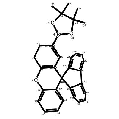 CC1(C)OB(C2=CC3=C(CC2)Oc2ccccc2C32c3ccccc3-c3ccccc32)OC1(C)C